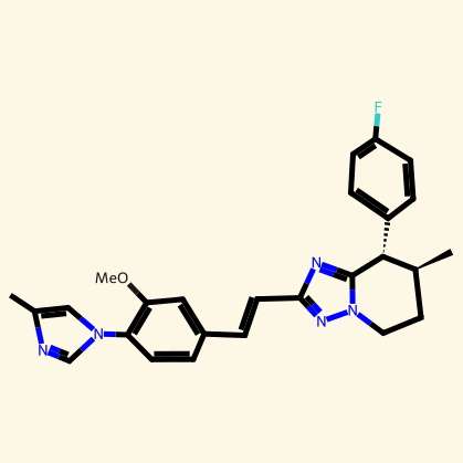 COc1cc(/C=C/c2nc3n(n2)CC[C@H](C)[C@H]3c2ccc(F)cc2)ccc1-n1cnc(C)c1